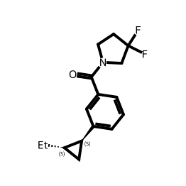 CC[C@H]1C[C@@H]1c1cccc(C(=O)N2CCC(F)(F)C2)c1